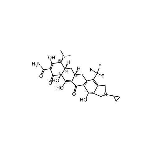 CN(C)[C@@H]1C(O)=C(C(N)=O)C(=O)[C@@]2(O)C(O)=C3C(=O)c4c(O)c5c(c(C(F)(F)F)c4C[C@H]3C[C@@H]12)CN(C1CC1)C5